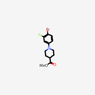 COC(=O)C1CCN(c2ccc(Br)c(F)c2)CC1